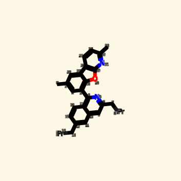 Cc1cc(-c2nc(CC(C)C)cc3cc(CC(C)C)ccc23)c2oc3nc(C)ccc3c2c1